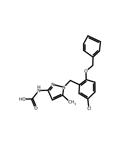 Cc1cc(NC(=O)O)nn1Cc1cc(Cl)ccc1OCc1ccccc1